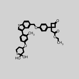 CCOC(=O)CC1(c2ccc(OCc3ccc4scc(-c5ccc(OC6CCSC(O)(O)C6)cc5C)c4c3)cc2)CC(=O)C1